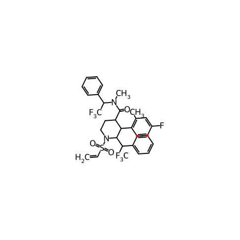 C=CS(=O)(=O)N1CCC(C(=O)N(C)C(c2ccccc2)C(F)(F)F)C(c2ccc(F)cc2C)C1C(c1ccccc1)C(F)(F)F